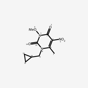 COn1c(=O)c([N+](=O)[O-])c(C)n(CC2CC2)c1=O